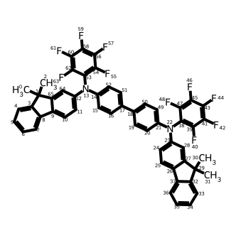 CC1(C)c2ccccc2-c2ccc(N(c3ccc(-c4ccc(N(c5ccc6c(c5)C(C)(C)c5ccccc5-6)c5c(F)c(F)c(F)c(F)c5F)cc4)cc3)c3c(F)c(F)c(F)c(F)c3F)cc21